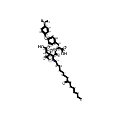 CCCCCCCC(=O)CCCCCC/C=C/[C@H](C(=O)N[C@@H](Cc1ccc(Oc2ccc(N(C)C)cc2)cc1)C(=O)O)[C@@](O)(CC(=O)O)C(=O)O